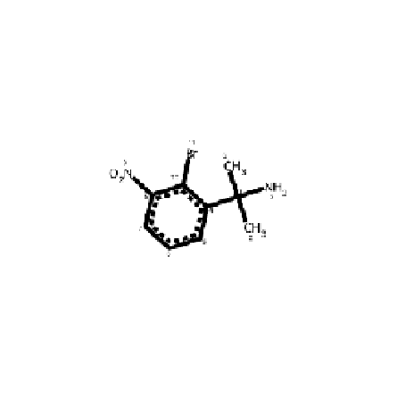 CC(C)(N)c1cccc([N+](=O)[O-])c1Br